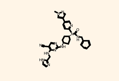 Cn1cc(-c2ccc(N(C(=O)NCc3ccccc3)[C@H]3CC[C@H](Nc4ncc(C#N)c(NCc5ncc[nH]5)n4)CC3)nc2)cn1